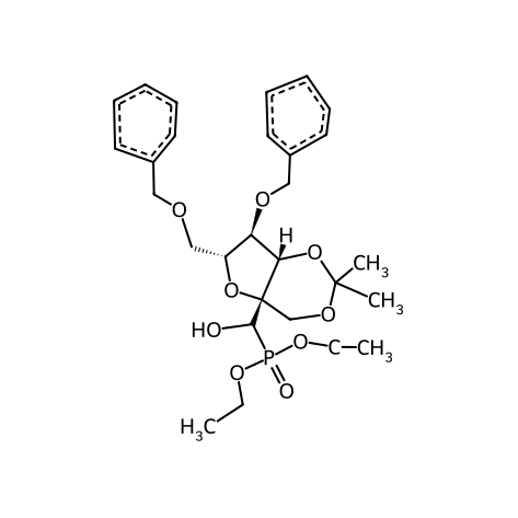 CCOP(=O)(OCC)C(O)[C@]12COC(C)(C)O[C@H]1[C@H](OCc1ccccc1)[C@@H](COCc1ccccc1)O2